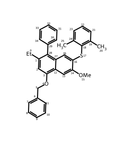 CCc1cc(OCc2ccccc2)c2cc(OC)c(Sc3c(C)cccc3C)cc2c1-c1ccccc1